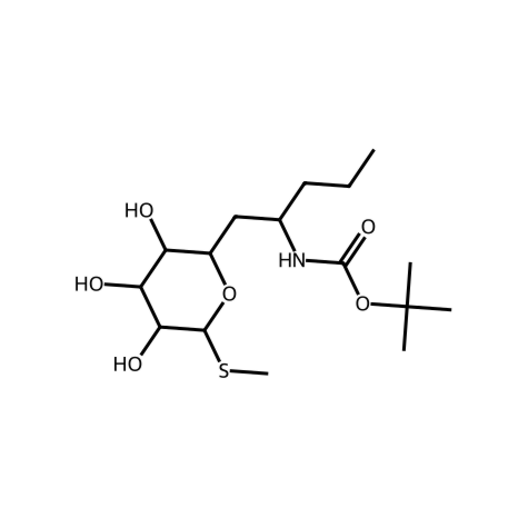 CCCC(CC1OC(SC)C(O)C(O)C1O)NC(=O)OC(C)(C)C